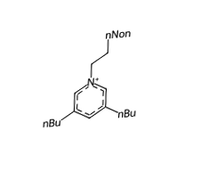 CCCCCCCCCCC[n+]1cc(CCCC)cc(CCCC)c1